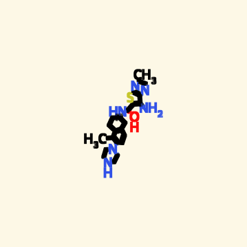 Cc1cnc2c(N)c(C(O)N[C@H]3CCc4c(ccc(N5CCNCC5)c4C)C3)sc2n1